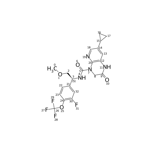 COC[C@@H](NC(=O)N1CC(=O)Nc2cc(C3CC3)cnc21)c1ccc(OC(F)(F)F)c(F)c1